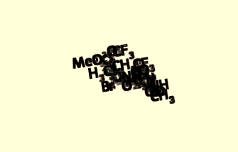 COc1cc(OC(F)(F)F)cc(C(C)(C)c2cc(Br)cc(NC(=O)c3cc4cc(NS(C)(=O)=O)ncc4n3OC(=O)C(F)(F)F)c2)c1